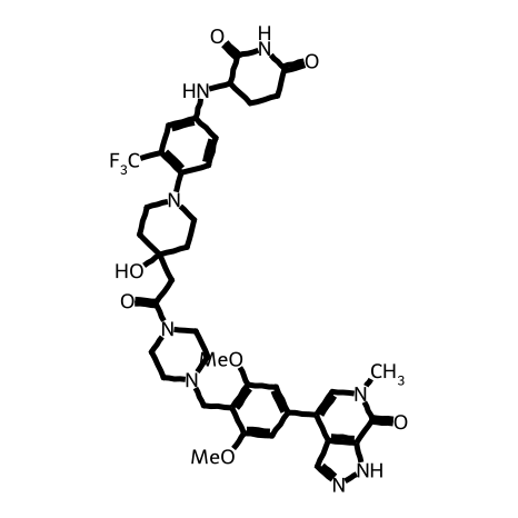 COc1cc(-c2cn(C)c(=O)c3[nH]ncc23)cc(OC)c1CN1CCN(C(=O)CC2(O)CCN(c3ccc(NC4CCC(=O)NC4=O)cc3C(F)(F)F)CC2)CC1